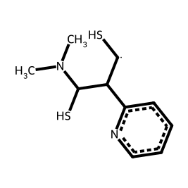 CN(C)C(S)C([CH]S)c1ccccn1